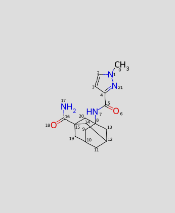 Cn1ccc(C(=O)NC23CC4CC(C2)CC(C(N)=O)(C4)C3)n1